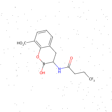 O=C(CCC(F)(F)F)NC1Cc2cccc(C(=O)O)c2OB1O